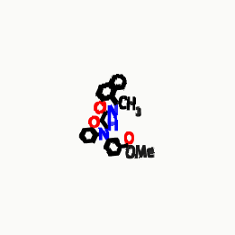 COC(=O)c1cccc(N2CC(C(=O)N[C@H](C)c3cccc4ccccc34)Oc3ccccc32)c1